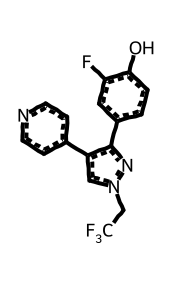 Oc1ccc(-c2nn(CC(F)(F)F)cc2-c2ccncc2)cc1F